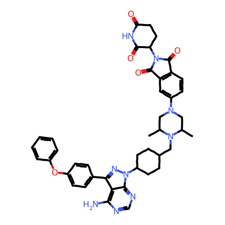 CC1CN(c2ccc3c(c2)C(=O)N(C2CCC(=O)NC2=O)C3=O)CC(C)N1CC1CCC(n2nc(-c3ccc(Oc4ccccc4)cc3)c3c(N)ncnc32)CC1